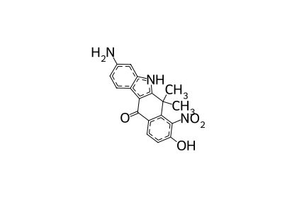 CC1(C)c2[nH]c3cc(N)ccc3c2C(=O)c2ccc(O)c([N+](=O)[O-])c21